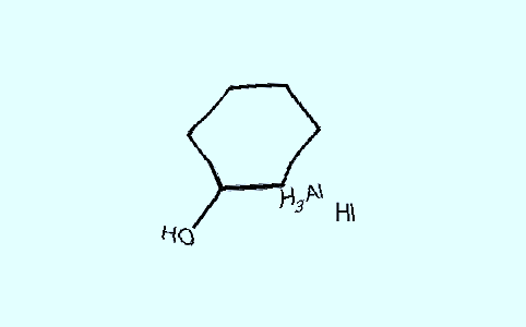 I.OC1CCCCC1.[AlH3]